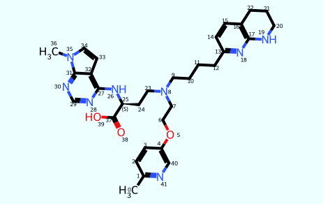 Cc1ccc(OCCN(CCCCc2ccc3c(n2)NCCC3)CC[C@H](Nc2ncnc3c2ccn3C)C(=O)O)cn1